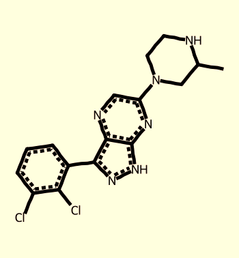 CC1CN(c2cnc3c(-c4cccc(Cl)c4Cl)n[nH]c3n2)CCN1